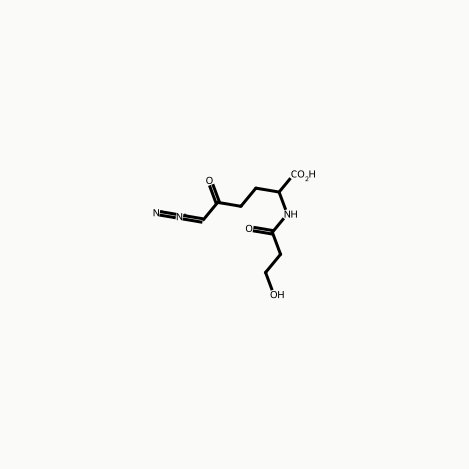 [N-]=[N+]=CC(=O)CCC(NC(=O)CCO)C(=O)O